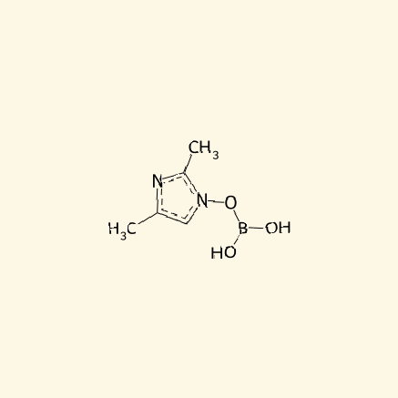 Cc1cn(OB(O)O)c(C)n1